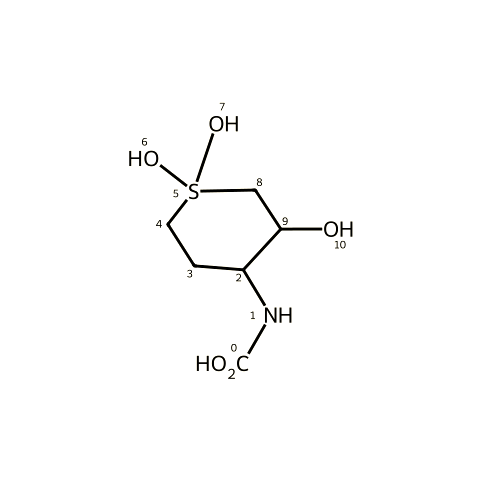 O=C(O)NC1CCS(O)(O)CC1O